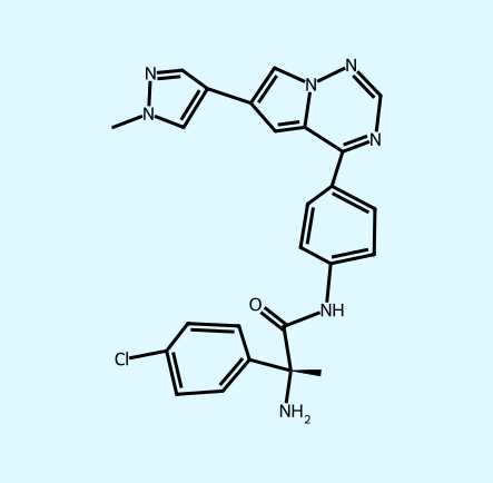 Cn1cc(-c2cc3c(-c4ccc(NC(=O)[C@](C)(N)c5ccc(Cl)cc5)cc4)ncnn3c2)cn1